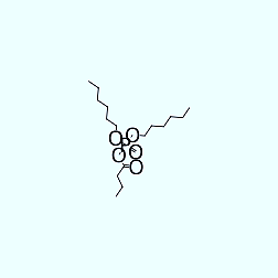 CCCCCCOP(=O)(OCCCCCC)OC(=O)CCC